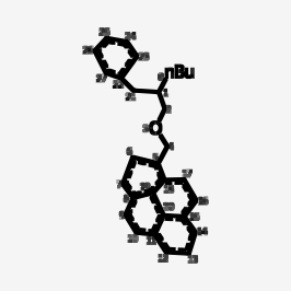 CCCCC(COCc1ccc2ccc3cccc4ccc1c2c34)Cc1ccccc1